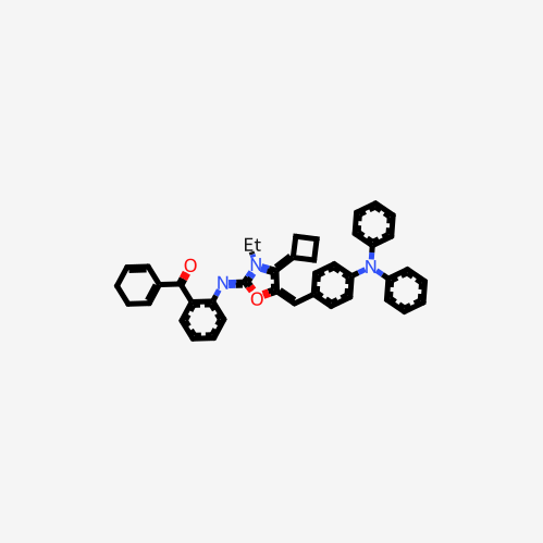 CCn1c(=C2CCC2)/c(=C\c2ccc(N(c3ccccc3)c3ccccc3)cc2)o/c1=N\c1ccccc1C(=O)C1=CCCC=C1